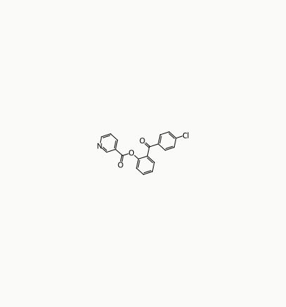 O=C(Oc1ccccc1C(=O)c1ccc(Cl)cc1)c1cccnc1